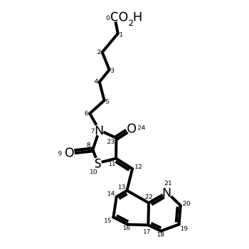 O=C(O)CCCCCCN1C(=O)SC(=Cc2cccc3cccnc23)C1=O